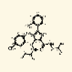 CCC(C)NCc1c(C(=O)NCC(C)C)nn(-c2ccccc2Cl)c1Oc1ccc(Cl)cc1